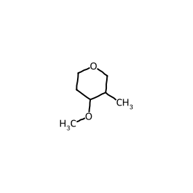 COC1CCOCC1C